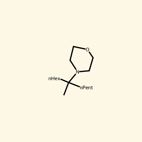 CCCCCCC(C)(CCCCC)N1CCOCC1